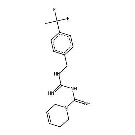 N=C(NCc1ccc(C(F)(F)F)cc1)NC(=N)N1CC=CCC1